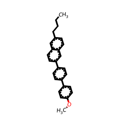 CCCCc1ccc2cc(-c3ccc(-c4ccc(OC)cc4)cc3)ccc2c1